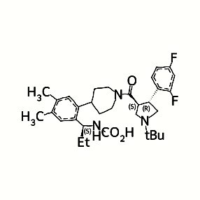 CC[C@H](NC(=O)O)c1cc(C)c(C)cc1C1CCN(C(=O)[C@@H]2CN(C(C)(C)C)C[C@H]2c2ccc(F)cc2F)CC1